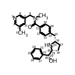 Cc1cncc(CN(C)C(=O)c2ccc(C[C@@H]3CC[C@H]([C@H](O)c4ccccc4)N3)cc2)c1